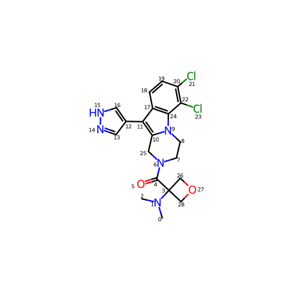 CN(C)C1(C(=O)N2CCn3c(c(-c4cn[nH]c4)c4ccc(Cl)c(Cl)c43)C2)COC1